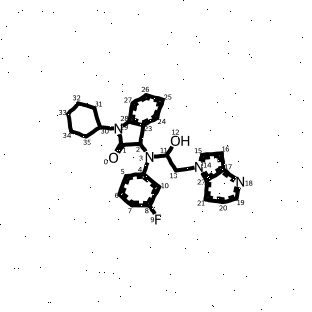 O=C1C(N(c2cccc(F)c2)C(O)Cn2ccc3ncccc32)c2ccccc2N1C1CCCCC1